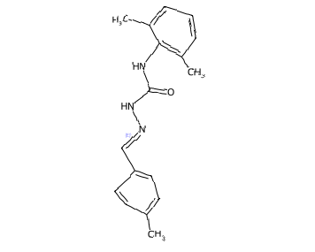 Cc1ccc(/C=N/NC(=O)Nc2c(C)cccc2C)cc1